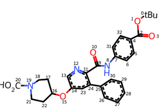 CC(C)(C)OC(=O)c1ccc(NC(=O)c2ncc(OC3CCN(C(=O)O)CC3)cc2-c2ccccc2)cc1